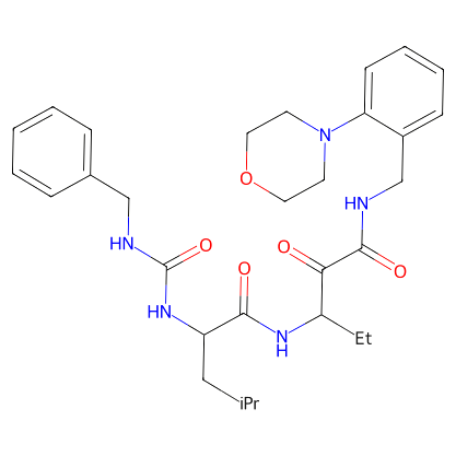 CCC(NC(=O)C(CC(C)C)NC(=O)NCc1ccccc1)C(=O)C(=O)NCc1ccccc1N1CCOCC1